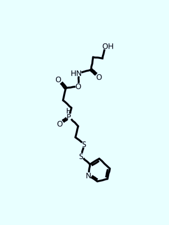 O=C(CCO)NOC(=O)CC[PH](=O)CCSSc1ccccn1